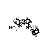 O=C(O)OC1(c2cn3c(C(=O)NCC45CC6CC(CC(C6)C4)C5)cccc3n2)CCOCC1